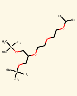 CCC(CC)OCCOCCOC(CO[Si](C)(C)C(C)(C)C)CO[Si](C)(C)C(C)(C)C